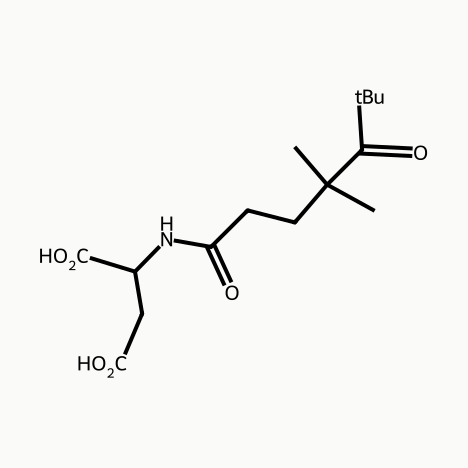 CC(C)(C)C(=O)C(C)(C)CCC(=O)NC(CC(=O)O)C(=O)O